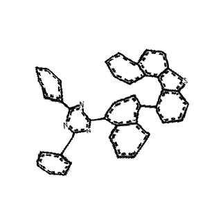 c1ccc(-c2nc(-c3ccccc3)nc(-c3ccc(-c4cccc5sc6ccc7ccccc7c6c45)c4ccccc34)n2)cc1